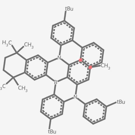 Cc1cc2c3c(c1)N(c1ccc(C(C)(C)C)cc1-c1ccccc1)c1cc4c(cc1B3c1ccc(C(C)(C)C)cc1N2c1cccc(C(C)(C)C)c1)C(C)(C)CCC4(C)C